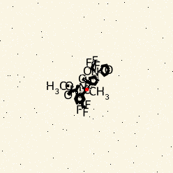 COC(=O)C1CN(C(=O)[C@@]2(C(C)C)CC[C@@H](N(C(=O)C(F)(F)F)C3CCOCC3)C2)Cc2cc(C(F)(F)F)ccc21